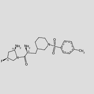 Cc1ccc(S(=O)(=O)N2CCCC(C[C@H](N)C(=O)N3C[C@@H](F)C[C@H]3N)C2)cc1